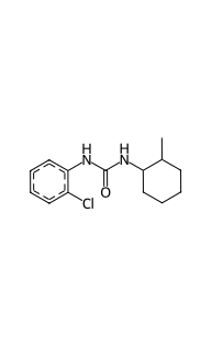 CC1CCCCC1NC(=O)Nc1ccccc1Cl